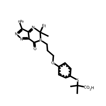 CCCC1=NN=C2C(=O)N(CCCOc3ccc(SC(C)(C)C(=O)O)cc3)C(C)(CC)N=C12